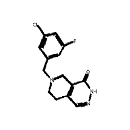 O=c1[nH]ncc2c1CN(Cc1cc(F)cc(Cl)c1)CC2